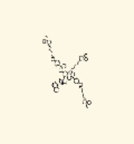 C=CC(=O)OCCCCCCOc1ccc(C(=O)Oc2cc(/C=N/Nc3cccc4ccccc34)c(OC(=O)c3ccc(OCCCCCCOC(=O)C=C)cc3)c(OCCCCCCOC(=O)C=C)c2)cc1